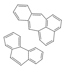 C1=c2ccccc2=Cc2cccc3cccc1c23.c1ccc2c(c1)ccc1ccccc12